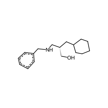 OC[C@H](CNCc1ccccc1)CC1CCCCC1